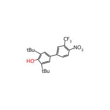 CC(C)(C)c1cc(-c2ccc([N+](=O)[O-])c(C(F)(F)F)c2)cc(C(C)(C)C)c1O